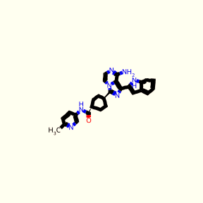 Cc1ccc(NC(=O)[C@H]2CC[C@H](c3nc(-c4cc5ccccc5[nH]4)c4c(N)nccn43)CC2)cn1